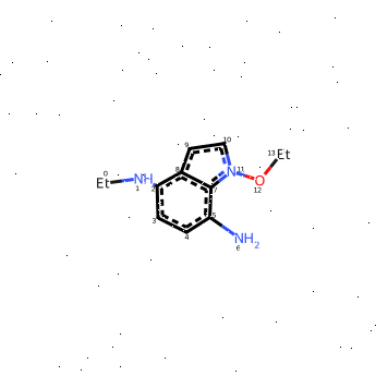 CCNc1ccc(N)c2c1ccn2OCC